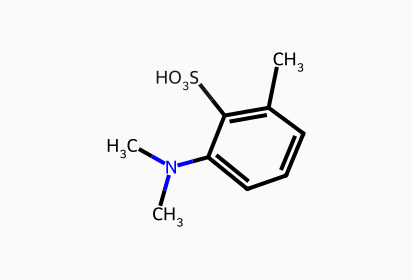 Cc1cccc(N(C)C)c1S(=O)(=O)O